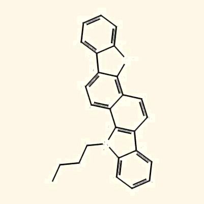 CCCCn1c2ccccc2c2ccc3c(ccc4c5ccccc5sc43)c21